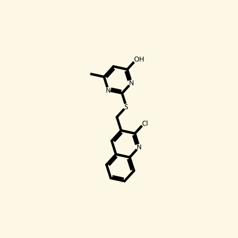 Cc1cc(O)nc(SCc2cc3ccccc3nc2Cl)n1